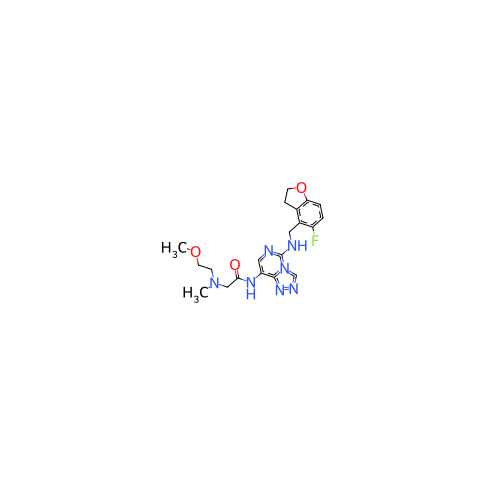 COCCN(C)CC(=O)Nc1cnc(NCc2c(F)ccc3c2CCO3)n2cnnc12